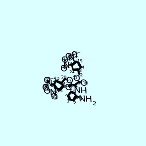 Nc1ccccc1NC(C(=O)OCc1ccc([N+](=O)[O-])c([N+](=O)[O-])c1)C(=O)OCc1ccc([N+](=O)[O-])c([N+](=O)[O-])c1